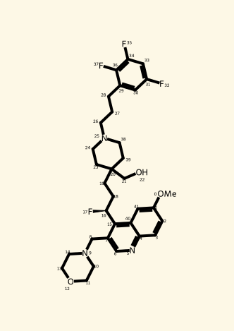 COc1ccc2ncc(CN3CCOCC3)c([C@@H](F)CCC3(CO)CCN(CCCc4cc(F)cc(F)c4F)CC3)c2c1